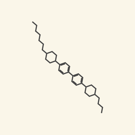 CCCCCCCC1CCC(c2ccc(-c3ccc(C4CCC(CCCC)CC4)cc3)cc2)CC1